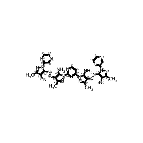 [C-]#[N+]c1c(C)nn(-c2cnccn2)c1N=Nc1c(C)nn(-c2ccnc(-n3nc(C)c(N=Nc4c(C#N)c(C)nn4-c4cnccn4)c3N)n2)c1N